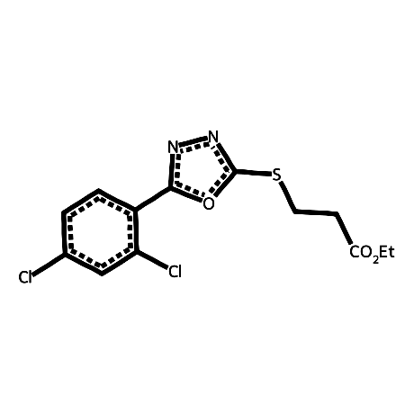 CCOC(=O)CCSc1nnc(-c2ccc(Cl)cc2Cl)o1